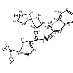 COC(=O)c1ccc(C(=O)Nc2nc3ccccc3n2[C@H]2C[C@@]3(CCNC3)C2)s1